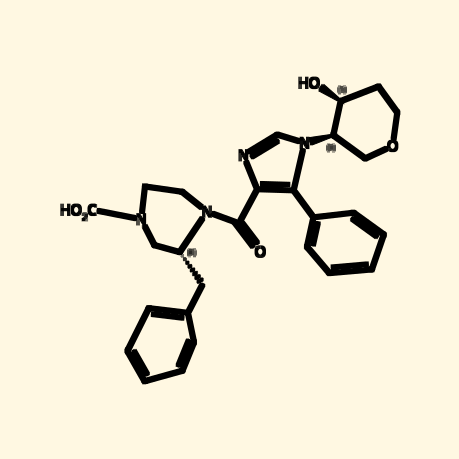 O=C(O)N1CCN(C(=O)c2ncn([C@@H]3COCC[C@@H]3O)c2-c2ccccc2)[C@H](Cc2ccccc2)C1